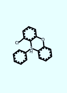 Clc1cccc2c1[SH](c1ccccc1)c1ccccc1O2